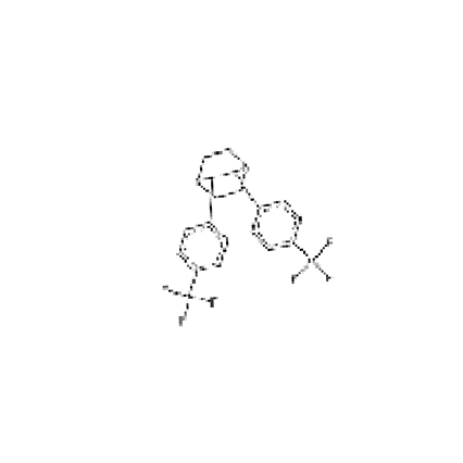 FC(F)(F)c1ccc(C2C(c3ccc(C(F)(F)F)cc3)N3CCN2CC3)cc1